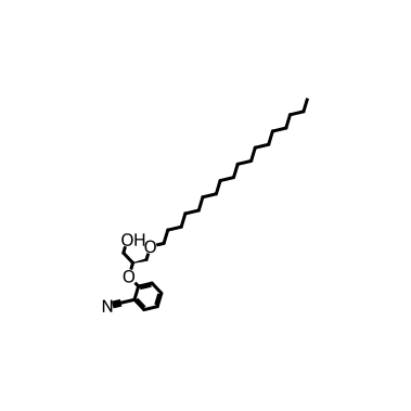 CCCCCCCCCCCCCCCCCCOC[C@H](CO)Oc1ccccc1C#N